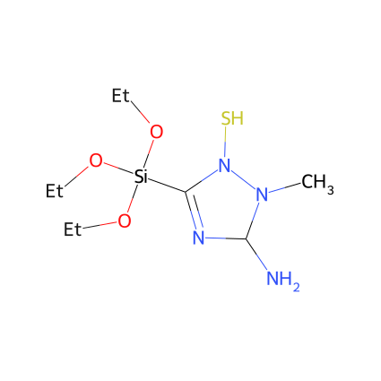 CCO[Si](OCC)(OCC)C1=NC(N)N(C)N1S